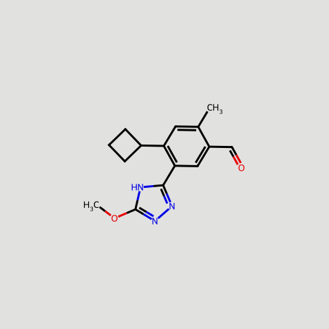 COc1nnc(-c2cc(C=O)c(C)cc2C2CCC2)[nH]1